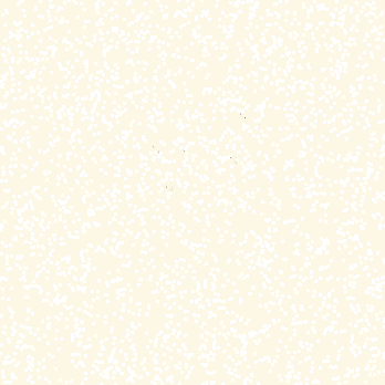 Cc1nc2c(-c3ccc(F)cc3)nc(N)c(Br)n2n1